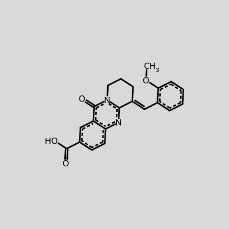 COc1ccccc1/C=C1\CCCn2c1nc1ccc(C(=O)O)cc1c2=O